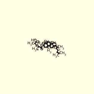 CC(C)=CCC[C@@H](C)[C@H]1CC[C@@]2(C)C3=C(CC[C@]12C)[C@@]1(C)CCC(OC(=O)C(C)SSC(C)C(=O)O)C(C)(C)[C@@H]1CC3